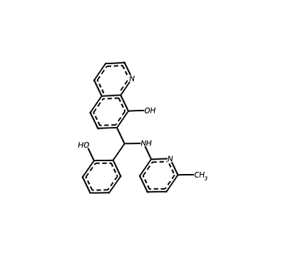 Cc1cccc(NC(c2ccccc2O)c2ccc3cccnc3c2O)n1